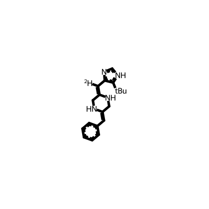 [2H]/C(=C1\CN/C(=C\c2ccccc2)CN1)c1nc[nH]c1C(C)(C)C